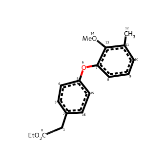 CCOC(=O)Cc1ccc(Oc2cccc(C)c2OC)cc1